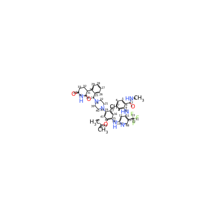 CNC(=O)c1ccccc1Nc1cc(Nc2cc(C)c(N3CCN(Cc4ccccc4C4CCC(=O)NC4=O)CC3)cc2OC(C)C)ncc1C(F)(F)F